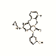 O=c1n(Cc2c(F)cccc2F)c2cnc(NC3CC3)nc2n1-c1cccc(O)c1